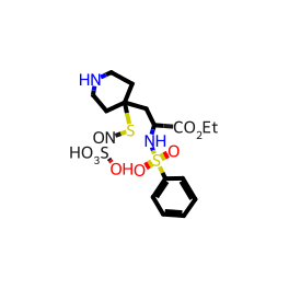 CCOC(=O)C(CC1(SN=O)CCNCC1)NS(=O)(=O)c1ccccc1.O=S(=O)(O)O